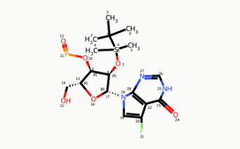 CC(C)(C)[Si](C)(C)O[C@@H]1[C@H](OP=O)[C@@H](CO)O[C@H]1n1cc(F)c2c(=O)[nH]cnc21